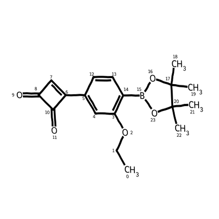 CCOc1cc(-c2cc(=O)c2=O)ccc1B1OC(C)(C)C(C)(C)O1